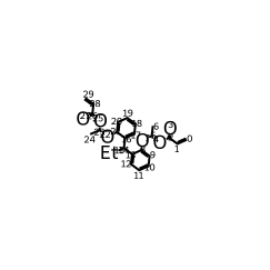 C=CC(=O)OC(C)Oc1ccccc1C(CC)c1ccccc1OC(C)OC(=O)C=C